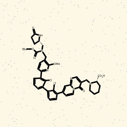 COc1nc(-c2cccc(-c3cccc(-c4ccn5c(=O)c(CN6CCCC[C@H]6C(=O)O)cnc5c4)c3Cl)c2Cl)ccc1CN(C[C@@H]1CCC(=O)N1)C(=O)OC(C)(C)C